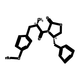 CCCCOc1ccc(C[C@H](C)C(=O)N2C(=O)OC[C@@H]2Cc2ccccc2)cc1